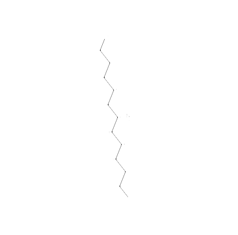 CCCCCCCCCCCCCCCCCCCBr.N